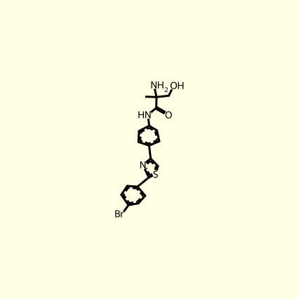 CC(N)(CO)C(=O)Nc1ccc(-c2csc(-c3ccc(Br)cc3)n2)cc1